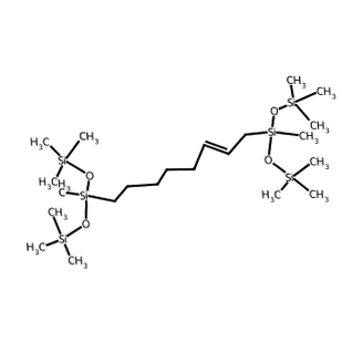 C[Si](C)(C)O[Si](C)(C/C=C/CCCCC[Si](C)(O[Si](C)(C)C)O[Si](C)(C)C)O[Si](C)(C)C